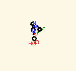 O=C(C[C@H]1CC[C@H](C(=O)O)CC1)N1CCc2c(n(Cc3cc(F)cc(F)c3)c3ncccc23)C1